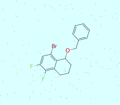 Fc1cc(Br)c2c(c1F)CCCC2OCc1ccccc1